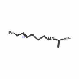 C=C(CCC)NCCCC/C=C/CC(C)CC